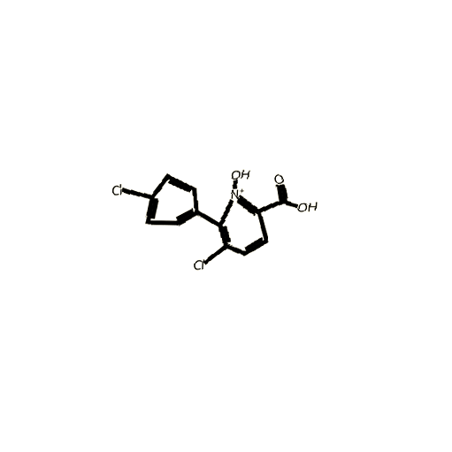 O=C(O)c1ccc(Cl)c(-c2ccc(Cl)cc2)[n+]1O